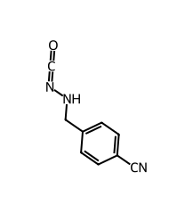 N#Cc1ccc(CNN=C=O)cc1